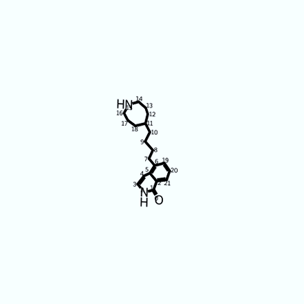 O=c1[nH]ccc2c(CCCCC3CCCNCCC3)cccc12